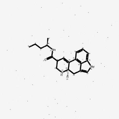 CCC[C@@H](C)NC(=O)C1C=C2c3cccc4[nH]cc(c34)C[C@H]2NC1